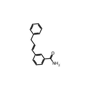 NC(=O)c1cccc(/C=C/Cc2ccccc2)c1